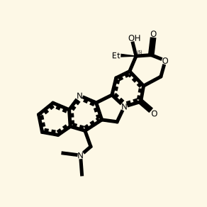 CC[C@@]1(O)C(=O)OCc2c1cc1n(c2=O)Cc2c-1nc1ccccc1c2CN(C)C